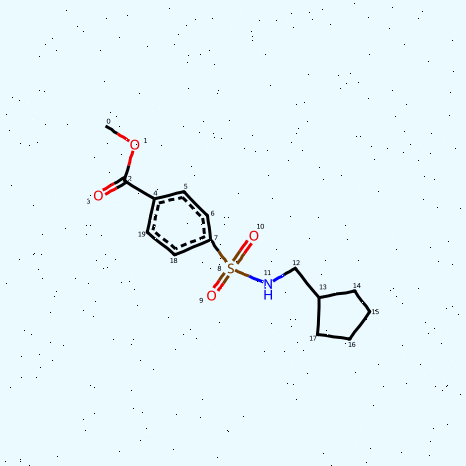 COC(=O)c1ccc(S(=O)(=O)NCC2CCCC2)cc1